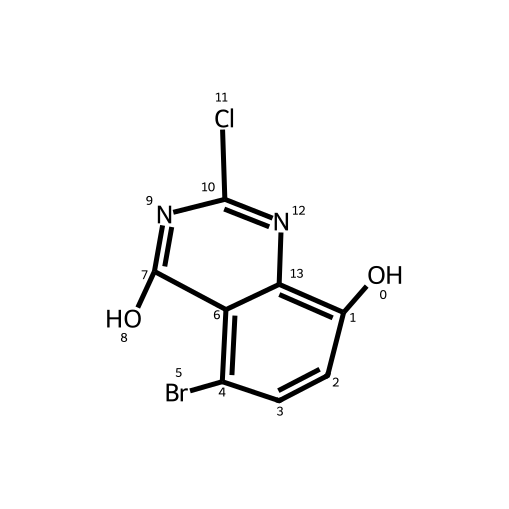 Oc1ccc(Br)c2c(O)nc(Cl)nc12